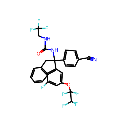 N#Cc1ccc(C(Cc2ccccc2)(NC(=O)NCC(F)(F)F)c2cc(F)cc(OC(F)(F)C(F)F)c2)cc1